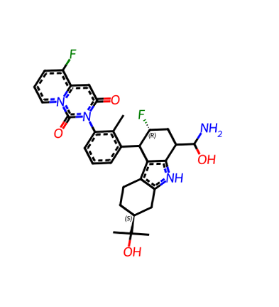 Cc1c(C2c3c([nH]c4c3CC[C@H](C(C)(C)O)C4)C(C(N)O)C[C@H]2F)cccc1-n1c(=O)cc2c(F)cccn2c1=O